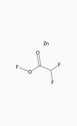 O=C(OF)C(F)F.[Zn]